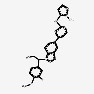 COc1ccc(C(CO)n2nnc3cc(-c4ccnc(Nc5ccnn5C)n4)ccc32)cc1F